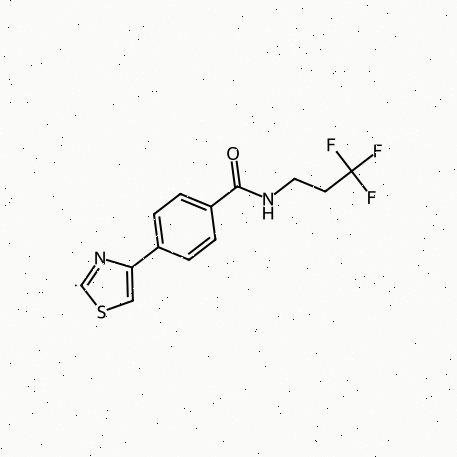 O=C(NCCC(F)(F)F)c1ccc(-c2cs[c]n2)cc1